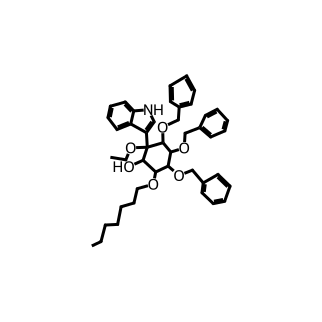 CCCCCCCOC1C(OCc2ccccc2)C(OCc2ccccc2)C(OCc2ccccc2)C(OCC)(c2c[nH]c3ccccc23)C1O